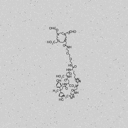 Cc1nnc(NC(=O)CCCc2cn(CCCC[C@H](NC(=O)C[C@H](NC(=O)C[C@H](NC(=O)CCC(C)(c3ccc(O)cc3)c3ccc(O)cc3)C(=O)O)C(=O)O)C(=O)NCCOCCOCCNC(=O)CN3CCN(COC=O)CCN(COC=O)CCN(CC(=O)O)CC3)nn2)s1